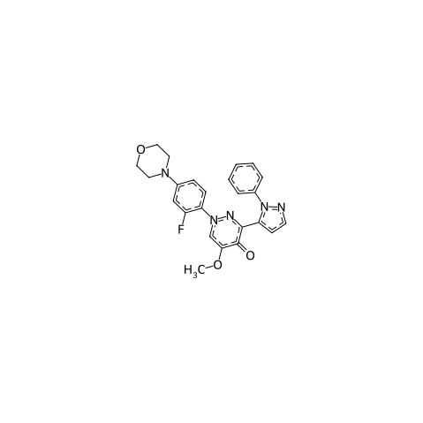 COc1cn(-c2ccc(N3CCOCC3)cc2F)nc(-c2ccnn2-c2ccccc2)c1=O